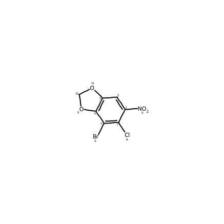 O=[N+]([O-])c1cc2c(c(Br)c1Cl)OCO2